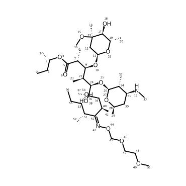 CC[C@H](C)OC(=O)[C@H](C)[C@@H](O[C@H]1C[C@@](C)(OC)[C@@H](O)[C@H](C)O1)[C@H](C)[C@@H](O[C@@H]1O[C@H](C)C[C@H](NC)[C@H]1C)[C@](C)(O)C[C@@H](C)/C(=N\OCOCCOC)[C@H](C)[C@@H](O)CC